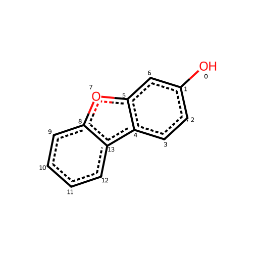 Oc1[c]cc2c(c1)oc1ccccc12